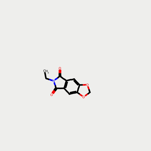 CCN1C(=O)c2cc3c(cc2C1=O)OCO3